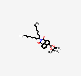 C=C1OB(c2ccc3c4c(cccc24)C(=O)N(C(CCCCCCC)CCCCCCC)C3=O)OC1(C)C